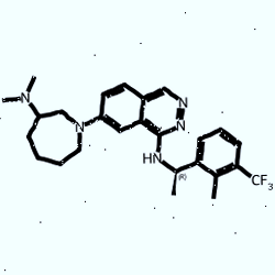 Cc1c([C@@H](C)Nc2nncc3ccc(N4CCCCC(N(C)C)C4)cc23)cccc1C(F)(F)F